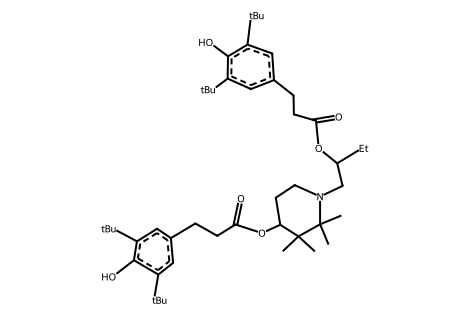 CCC(CN1CCC(OC(=O)CCc2cc(C(C)(C)C)c(O)c(C(C)(C)C)c2)C(C)(C)C1(C)C)OC(=O)CCc1cc(C(C)(C)C)c(O)c(C(C)(C)C)c1